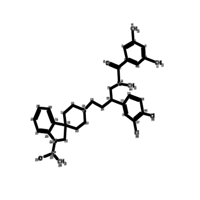 Cc1cc(C)cc(C(=O)N(C)CC(CCN2CCC3(CC2)CN([S+](C)[O-])c2ccccc23)c2ccc(Cl)c(Cl)c2)c1